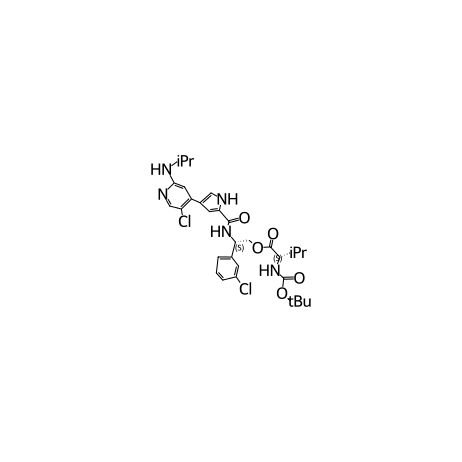 CC(C)Nc1cc(-c2c[nH]c(C(=O)N[C@H](COC(=O)[C@@H](NC(=O)OC(C)(C)C)C(C)C)c3cccc(Cl)c3)c2)c(Cl)cn1